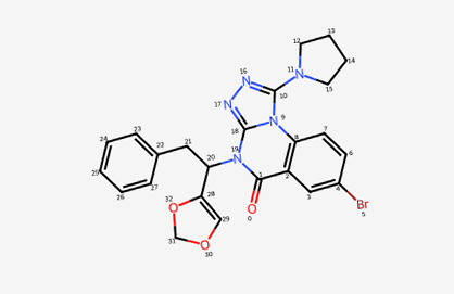 O=c1c2cc(Br)ccc2n2c(N3CCCC3)nnc2n1C(Cc1ccccc1)C1=COCO1